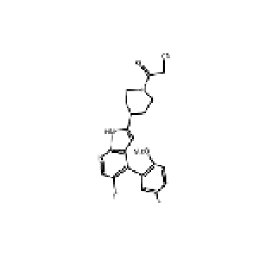 COc1ccc(F)cc1-c1c(F)cnc2[nH]c(C3CCN(C(=O)CC#N)CC3)cc12